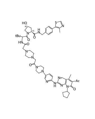 CC(=O)c1c(C)c2cnc(Nc3ccc(N4CCN(C(=O)CN5CCN(CC(=O)NC(C(=O)N6C[C@H](O)C[C@H]6C(=O)NCc6ccc(-c7scnc7C)cc6)C(C)(C)C)CC5)CC4)cn3)nc2n(C2CCCC2)c1=O